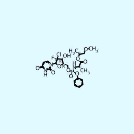 COC[C@@H](C)OC(=O)[C@H](C)NP(=O)(OC[C@H]1OC(n2ccc(=O)[nH]c2=O)[C@@](F)(Cl)[C@@H]1O)Oc1ccccc1